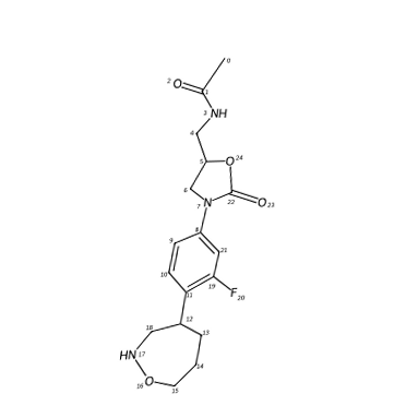 CC(=O)NCC1CN(c2ccc(C3CCCONC3)c(F)c2)C(=O)O1